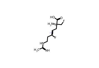 CC(=N)NCC/C(F)=C/C[C@@](N)(CF)C(=O)O